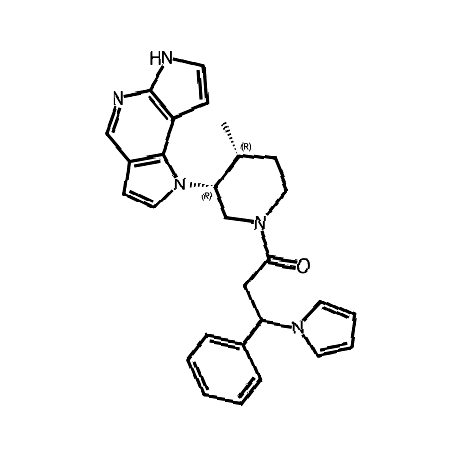 C[C@@H]1CCN(C(=O)CC(c2ccccc2)n2cccc2)C[C@@H]1n1ccc2cnc3[nH]ccc3c21